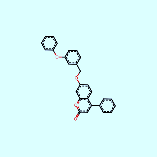 O=c1cc(-c2ccccc2)c2ccc(OCc3cccc(Oc4ccccc4)c3)cc2o1